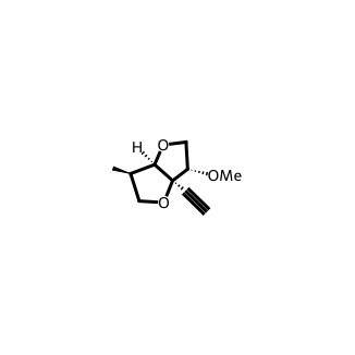 C#C[C@]12OC[C@@H](C)[C@H]1OC[C@@H]2OC